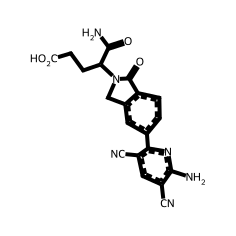 N#Cc1cc(C#N)c(-c2ccc3c(c2)CN(C(CCC(=O)O)C(N)=O)C3=O)nc1N